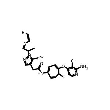 CC/C=C\N=C/C(C)n1ncc(CC(=O)NC2=CC=C(Oc3ccnc(N)c3Cl)C(F)C=C2)c1CCC